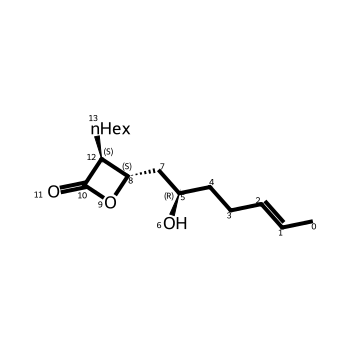 CC=CCC[C@@H](O)C[C@@H]1OC(=O)[C@H]1CCCCCC